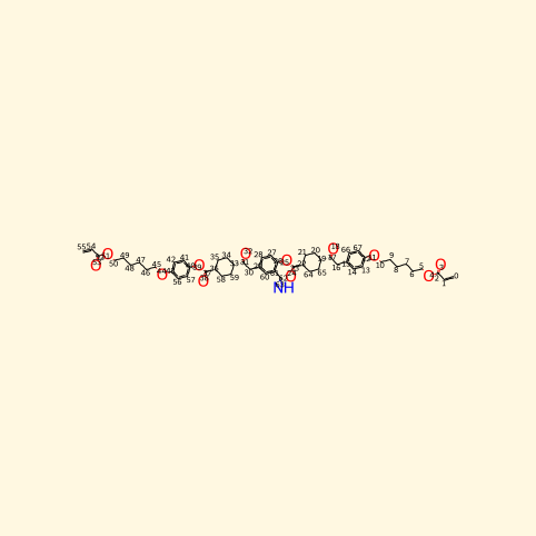 C=CC(=O)OCCCCCCOc1ccc(CC(=O)[C@H]2CC[C@H](C(=O)Oc3ccc(CC(=O)[C@H]4CC[C@H](C(=O)Oc5ccc(OCCCCCCOC(=O)C=C)cc5)CC4)cc3C=N)CC2)cc1